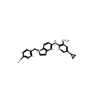 O=C(O)c1cc(C2CC2)cnc1Nc1ccc2c(ccn2Cc2ccc(F)cc2)c1